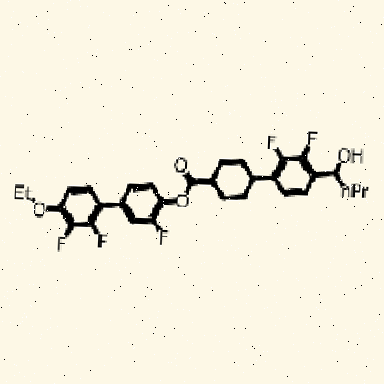 CCCC(O)c1ccc(C2CCC(C(=O)Oc3ccc(-c4ccc(OCC)c(F)c4F)cc3F)CC2)c(F)c1F